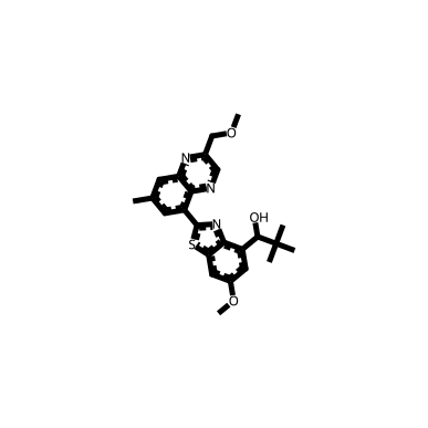 COCc1cnc2c(-c3nc4c(C(O)C(C)(C)C)cc(OC)cc4s3)cc(C)cc2n1